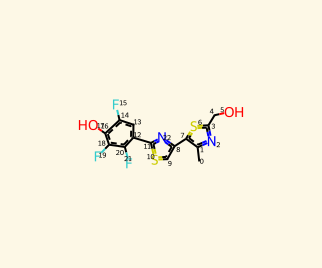 Cc1nc(CO)sc1-c1csc(-c2cc(F)c(O)c(F)c2F)n1